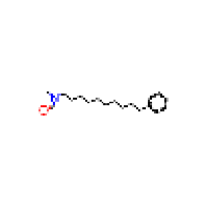 CN(C=O)CCCCCCCCCCc1ccccc1